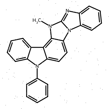 Cn1c2c3c4ccccc4n(-c4ccccc4)c3ccc2n2c3ccccc3nc12